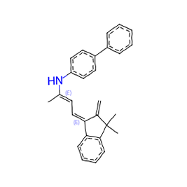 C=C1/C(=C\C=C(/C)Nc2ccc(-c3ccccc3)cc2)c2ccccc2C1(C)C